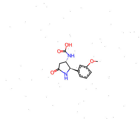 COc1cccc([C@H]2NC(=O)C[C@@H]2NC(=O)O)c1